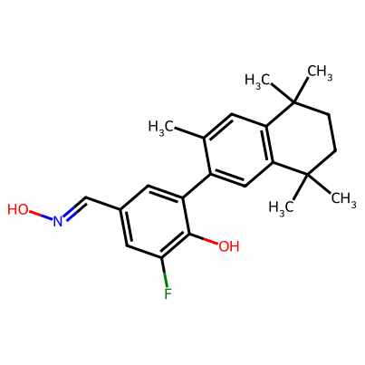 Cc1cc2c(cc1-c1cc(/C=N/O)cc(F)c1O)C(C)(C)CCC2(C)C